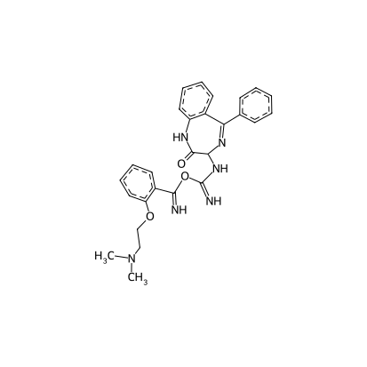 CN(C)CCOc1ccccc1C(=N)OC(=N)NC1N=C(c2ccccc2)c2ccccc2NC1=O